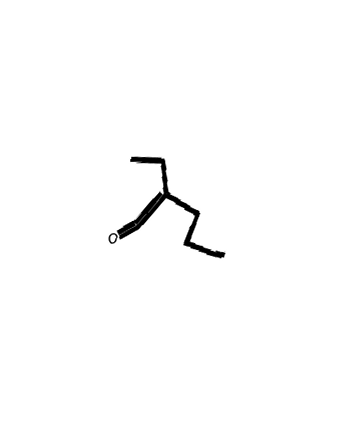 CCCC(=C=O)CC